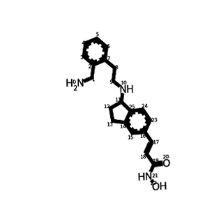 NCc1ccccc1CCNC1CCc2cc(C=CC(=O)NO)ccc21